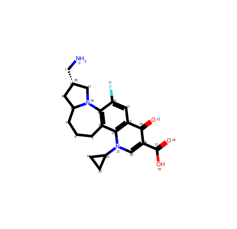 NC[C@H]1CC2CCCc3c(c(F)cc4c(=O)c(C(=O)O)cn(C5CC5)c34)N2C1